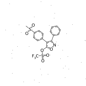 CS(=O)(=O)c1ccc(-c2c(-c3ccccc3)noc2OS(=O)(=O)C(F)(F)F)cc1